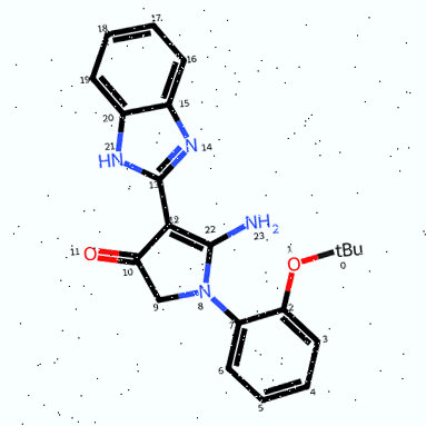 CC(C)(C)Oc1ccccc1N1CC(=O)C(c2nc3ccccc3[nH]2)=C1N